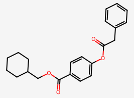 O=C(Cc1ccccc1)Oc1ccc(C(=O)OCC2CCCCC2)cc1